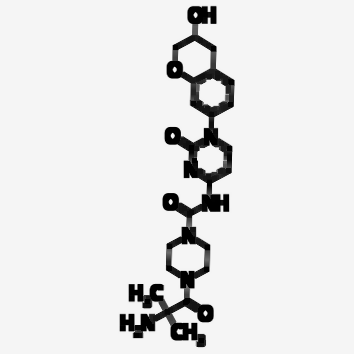 CC(C)(N)C(=O)N1CCN(C(=O)Nc2ccn(-c3ccc4c(c3)OCC(O)C4)c(=O)n2)CC1